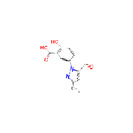 Cc1cc(C=O)n(-c2ccc(O)c(C(=O)O)c2)n1